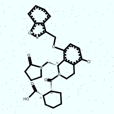 O=C(O)[C@H]1CCCC[C@H]1C(=O)N1CCc2c(Cl)ccc(OCc3noc4ccccc34)c2[C@H]1CN1CCCC1=O